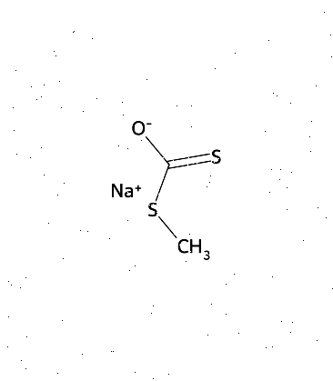 CSC([O-])=S.[Na+]